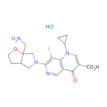 Cl.NCC12CN(c3ncc4c(=O)c(C(=O)O)cn(C5CC5)c4c3F)CC1CCO2